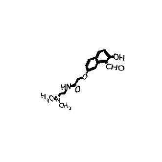 CN(C)CCNC(=O)COc1ccc2ccc(O)c(C=O)c2c1